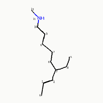 CCCC(CC)CCCCCNC